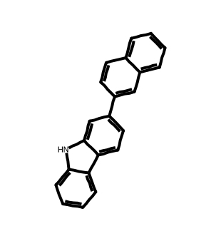 c1ccc2cc(-c3ccc4c(c3)[nH]c3ccccc34)ccc2c1